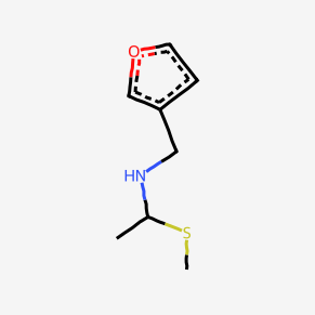 CSC(C)NCc1ccoc1